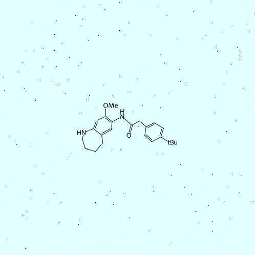 COc1cc2c(cc1NC(=O)Cc1ccc(C(C)(C)C)cc1)CCCCN2